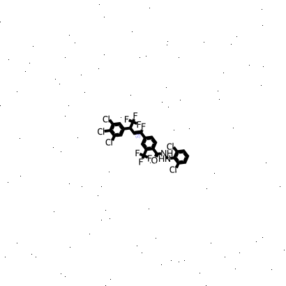 O=C(NNc1c(Cl)cccc1Cl)c1ccc(/C(F)=C/C(c2cc(Cl)c(Cl)c(Cl)c2)C(F)(F)F)cc1C(F)(F)F